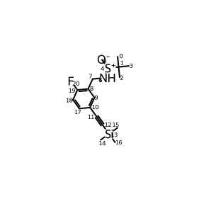 CC(C)(C)[S+]([O-])NCc1cc(C#C[Si](C)(C)C)ccc1F